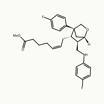 COC(=O)CCC/C=C\C[C@H]1[C@H](CNc2ccc(F)cc2)[C@@H]2C[C@@]1(c1ccc(F)cc1)CO2